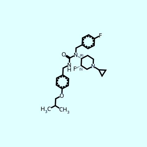 CC(C)COc1ccc(CNC(=O)N(Cc2ccc(F)cc2)[C@@H]2CCN(C3CC3)C[C@@H]2F)cc1